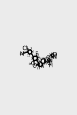 COc1cc(-c2ccc(Cl)c(C#N)c2)c(F)cc1-n1c2c(ccc1=O)CN(S(=O)(=O)Nc1ccon1)CC2